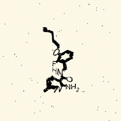 C/C=C/CCOc1cccc(CNC(=O)c2ccc(C)nc2N)c1F